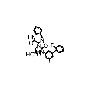 Cc1cc(NC(=O)N(CC(=O)O)C2N=Cc3ccccc3NC2=O)cc(-c2ccccc2F)c1